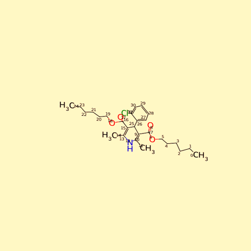 CCCCCCOC(=O)C1=C(C)NC(C)=C(C(=O)OCCCCCC)C1c1ccccc1Cl